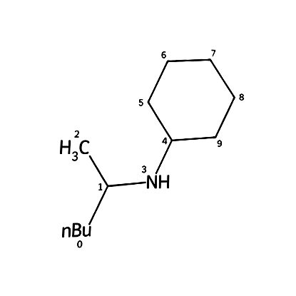 CCCCC(C)NC1CCCCC1